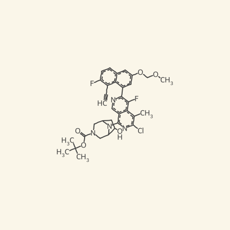 C#Cc1c(F)ccc2cc(OCOC)cc(-c3ncc4c(N5C6CC(O)C5CN(C(=O)OC(C)(C)C)C6)nc(Cl)c(C)c4c3F)c12